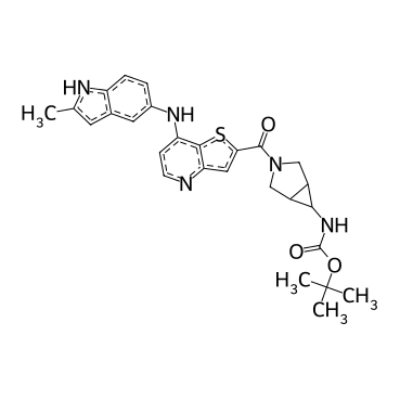 Cc1cc2cc(Nc3ccnc4cc(C(=O)N5CC6C(C5)C6NC(=O)OC(C)(C)C)sc34)ccc2[nH]1